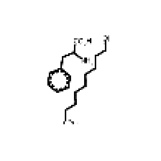 CCCCCCCCCCCCCCCCCCO.NC(Cc1ccccc1)C(=O)O